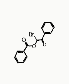 O=C(OC(Br)C(=O)c1ccccc1)c1ccccc1